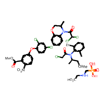 CC1COc2ccccc2N1C(=O)C(Cl)Cl.CCc1cccc(C)c1N(C(=O)CCl)C(C)COC.COC(=O)c1cc(Oc2ccc(Cl)cc2Cl)ccc1[N+](=O)[O-].O=C(O)CNCP(=O)(O)O